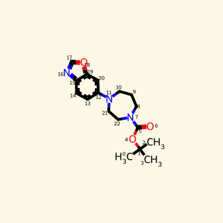 CC(C)(C)OC(=O)N1CCCN(c2ccc3ncoc3c2)CC1